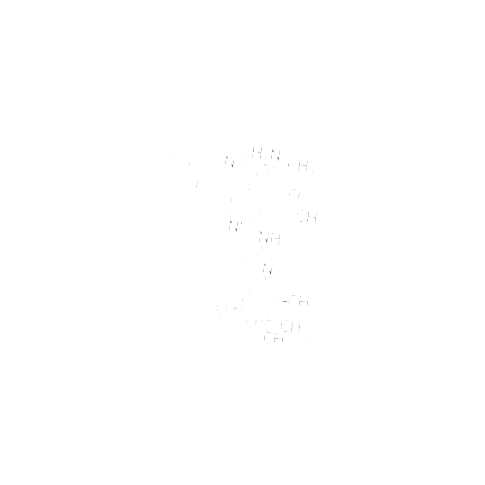 COC[C@](C)(N)c1cnc(OC2CC2)c2cnc(Nc3ccc4c(n3)[C@@H](C)C(C)(C)OC4=O)cc12